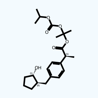 CC(C)OC(=O)OC(C)(C)OC(=O)[C@@H](C)c1ccc(C[C@H]2CCC[C@@H]2O)cc1